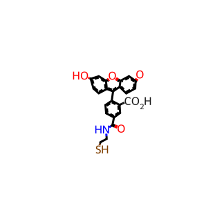 O=C(NCCS)c1ccc(-c2c3ccc(=O)cc-3oc3cc(O)ccc23)c(C(=O)O)c1